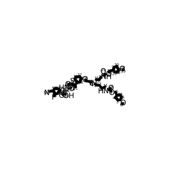 COc1ccc(COC(=O)NCCCCN(CCCNC(=O)OCc2ccc(OC)cc2)CCCOc2ccc3sc(S(=O)(=O)NCP(=O)(O)Oc4ccc(C#N)c(F)c4)c(C)c3c2)cc1